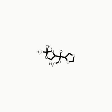 COC([O])(C1COCO1)C1COC(C)(C)O1